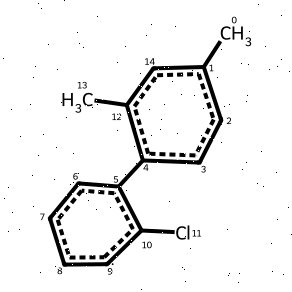 Cc1ccc(-c2ccc[c]c2Cl)c(C)c1